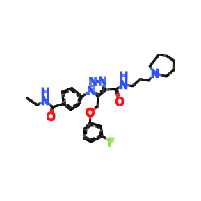 CCNC(=O)c1ccc(-n2nnc(C(=O)NCCCN3CCCCCC3)c2COc2cccc(F)c2)cc1